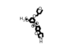 COc1cc(OCC2CCOCC2)cc(S(=O)(=O)c2ccc3c(c2)OC2CNCCC32)c1